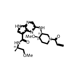 C=CC(=O)N1CC[C@@H](OC)[C@@H](Nc2cnc3[nH]cc(C(=O)N[C@H](C)COC)c3n2)C1